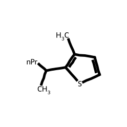 CCCC(C)c1sccc1C